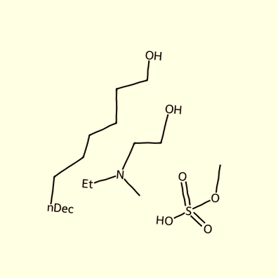 CCCCCCCCCCCCCCCCO.CCN(C)CCO.COS(=O)(=O)O